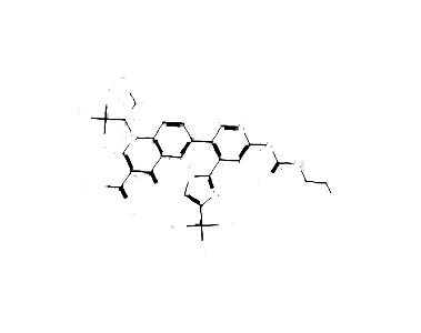 CCCNC(=O)Nc1cc(-c2nc(C(F)(F)F)cs2)c(-c2ccc3c(c2)c(=O)c(C(=O)O)cn3[C@H](CO)C(C)(C)C)cn1